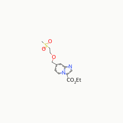 CCOC(=O)c1cnc2cc(COCCS(C)(=O)=O)ccn12